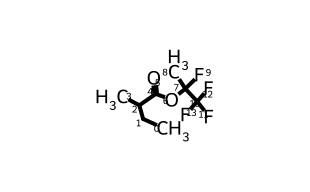 CCC(C)C(=O)OC(C)(F)C(F)(F)F